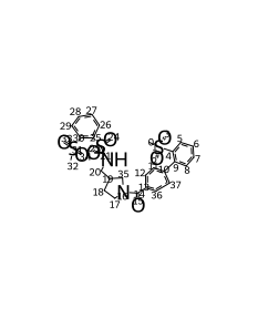 CS(=O)(=O)c1ccccc1-c1ccc(C(=O)N2CCC(CNS(=O)(=O)c3ccccc3S(C)(=O)=O)C2)cc1